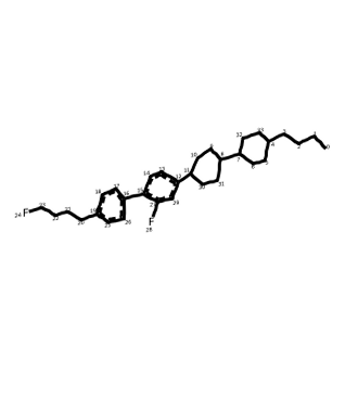 CCCCC1CCC(C2CCC(c3ccc(-c4ccc(CCCCF)cc4)c(F)c3)CC2)CC1